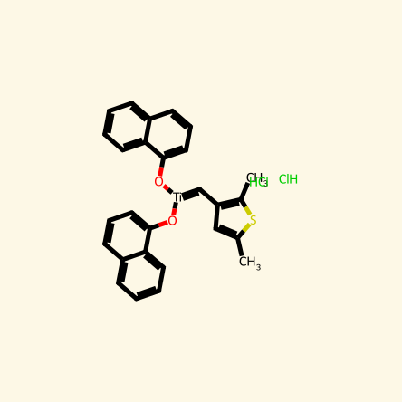 Cc1cc([CH]=[Ti]([O]c2cccc3ccccc23)[O]c2cccc3ccccc23)c(C)s1.Cl.Cl